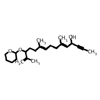 C=C(C)C(CC/C(C)=C/CC/C(C)=C/C(O)C#CC)OC1CCCCO1